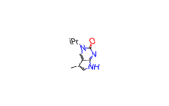 Cc1c[nH]c2nc(=O)n(C(C)C)cc12